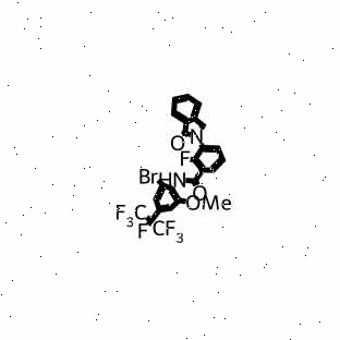 COc1cc(C(F)(C(F)(F)F)C(F)(F)F)cc(Br)c1NC(=O)c1cccc(N2Cc3ccccc3C2=O)c1F